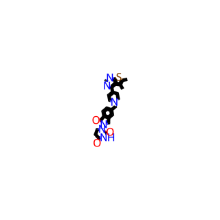 Cc1sc2ncnc(C3=CCN(Cc4ccc5c(c4)CN(N4CCC(=O)NC4=O)C5=O)CC3)c2c1C